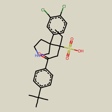 CCC(CC(=O)c1ccc(C(C)(C)C)cc1)(C1(c2ccc(Cl)c(Cl)c2)CCNC1)S(=O)(=O)O